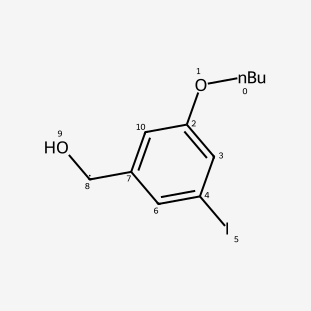 CCCCOc1cc(I)cc([CH]O)c1